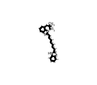 CC1(C)Cc2cccc3sc(C=CC=CC=CC=C4Nc5ccccc5S4)[n+](c23)C1